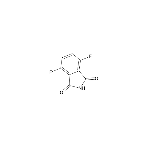 O=C1NC(=O)c2c(F)ccc(F)c21